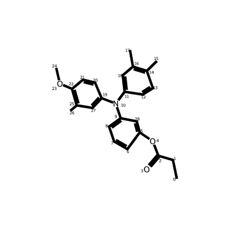 CCC(=O)Oc1cccc(N(c2ccc(C)c(C)c2)c2ccc(OC)c(C)c2)c1